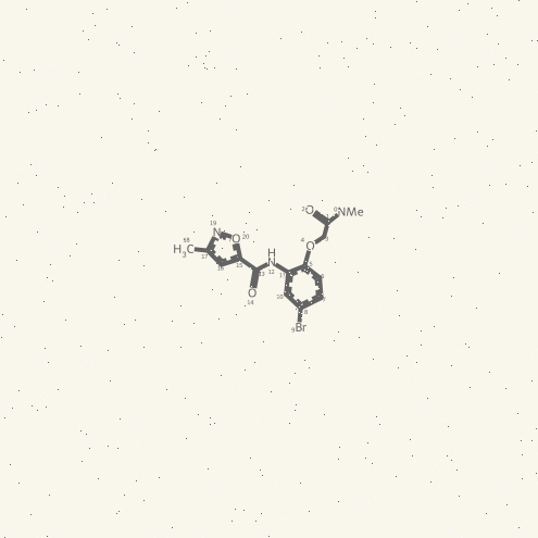 CNC(=O)COc1ccc(Br)cc1NC(=O)c1cc(C)no1